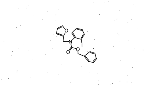 O=C(OCc1ccccc1)N(Cc1ccco1)c1ccccc1I